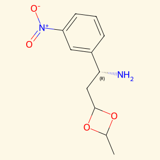 CC1OC(C[C@@H](N)c2cccc([N+](=O)[O-])c2)O1